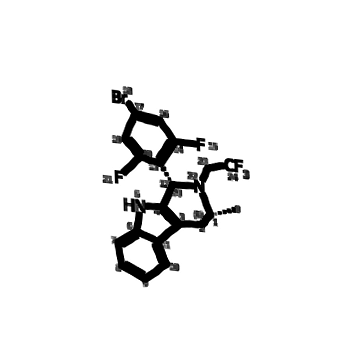 C[C@@H]1Cc2c([nH]c3ccccc23)[C@H](c2c(F)cc(Br)cc2F)N1CC(F)(F)F